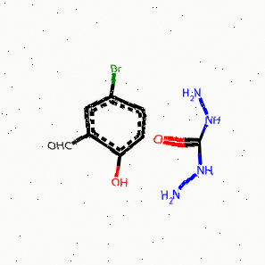 NNC(=O)NN.O=Cc1cc(Br)ccc1O